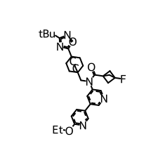 CCOc1ccc(-c2cncc(N(CC34CCC(c5nc(C(C)(C)C)no5)(CC3)CC4)C(=O)C34CC(F)(C3)C4)c2)cn1